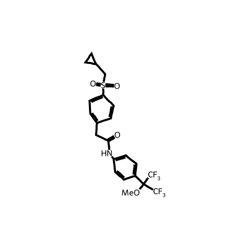 COC(c1ccc(NC(=O)Cc2ccc(S(=O)(=O)CC3CC3)cc2)cc1)(C(F)(F)F)C(F)(F)F